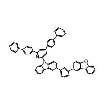 c1ccc(-c2ccc(-c3cc(-c4ccc(-c5ccccc5)cc4)nc(-n4c5ccccc5c5cc(-c6cccc(-c7ccc8oc9ccccc9c8c7)c6)ccc54)c3)cc2)cc1